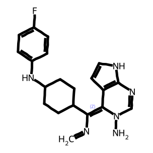 C=N/C(=C1/c2cc[nH]c2N=CN1N)C1CCC(Nc2ccc(F)cc2)CC1